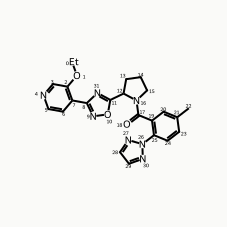 CCOc1cnccc1-c1noc(C2CCCN2C(=O)c2cc(C)ccc2-n2nccn2)n1